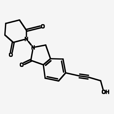 O=C1c2ccc(C#CCO)cc2CN1N1C(=O)CCCC1=O